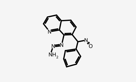 NN=Nc1c(C(N=O)c2ccccc2)ccc2cccnc12